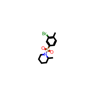 Cc1ccc(S(=O)(=O)N2CCCCC2C)cc1Br